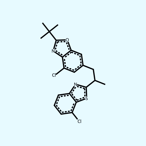 CC(Cc1cc(Cl)c2nc(C(C)(C)C)oc2c1)c1nc2cccc(Cl)c2s1